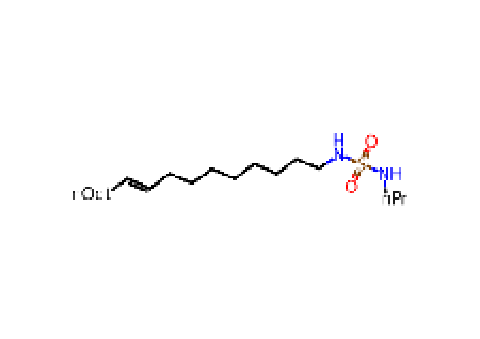 CCCCCCCCC=CCCCCCCCCNS(=O)(=O)NCCC